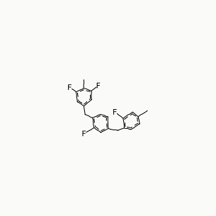 Cc1ccc(Cc2ccc(Cc3cc(F)c(C)c(F)c3)c(F)c2)c(F)c1